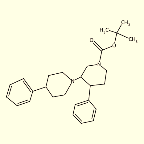 CC(C)(C)OC(=O)N1CCC(c2ccccc2)C(N2CCC(c3ccccc3)CC2)C1